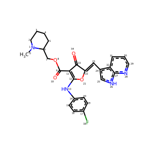 CN1CCCCC1COC(=O)C1=C(Nc2ccc(F)cc2)O/C(=C\c2c[nH]c3ncccc23)C1=O